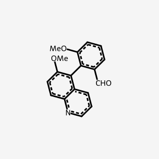 COc1cccc(C=O)c1-c1c(OC)ccc2ncccc12